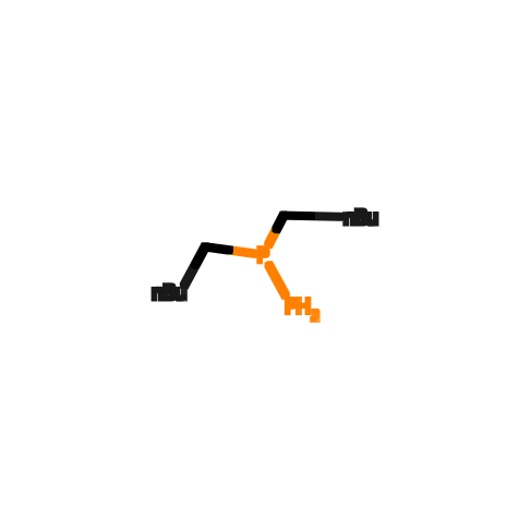 CCCCCP(P)CCCCC